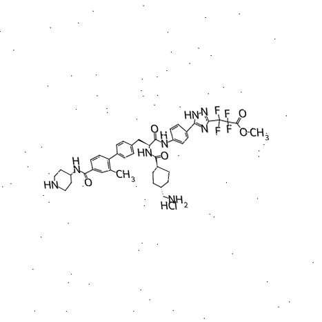 COC(=O)C(F)(F)C(F)(F)c1n[nH]c(-c2ccc(NC(=O)[C@H](Cc3ccc(-c4ccc(C(=O)NC5CCNCC5)cc4C)cc3)NC(=O)[C@H]3CC[C@H](CN)CC3)cc2)n1.Cl